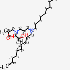 CCCCCCCCCCN(CCCCCCCCCC)CCCN(CC(C)O)CC(C)O